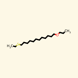 CCCOCCCCCCCCCCCCSCC